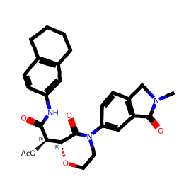 CC(=O)O[C@@H](C(=O)Nc1ccc2c(c1)CCCC2)[C@H]1OCCN(c2ccc3c(c2)C(=O)N(C)C3)C1=O